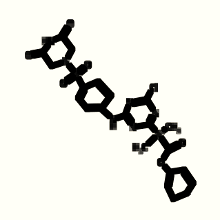 C[N+](C)(C(=O)OC1=CC[CH]C=C1)c1nc(Cl)nc(Nc2ccc(S(=O)(=O)N3CC(=O)NC(=O)C3)cc2)n1